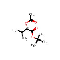 CC(=O)O[C@H](C(=O)OC(C)(C)C)C(C)C